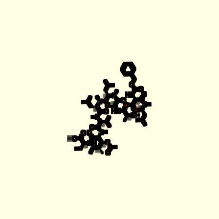 CC[C@H](NC(=O)[C@H]([C@H](OC(C)=O)[C@H](C)CC)N(C)C(=O)[C@H](C(C)C)N(C)C(=O)[C@H](CC(C)C)N(C)C(=O)[C@H](CC(C)C)N(C)C(=O)[C@@H](C)NC(=O)[C@H](C)NC(=O)[C@H](CC(C)C)N(C)C(=O)[C@@H](NC(=O)OCc1ccccc1)C(C)C)C(=O)O